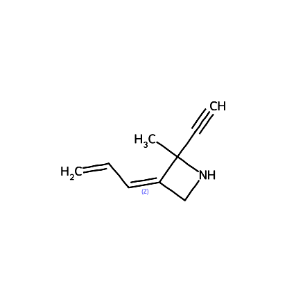 C#CC1(C)NC/C1=C/C=C